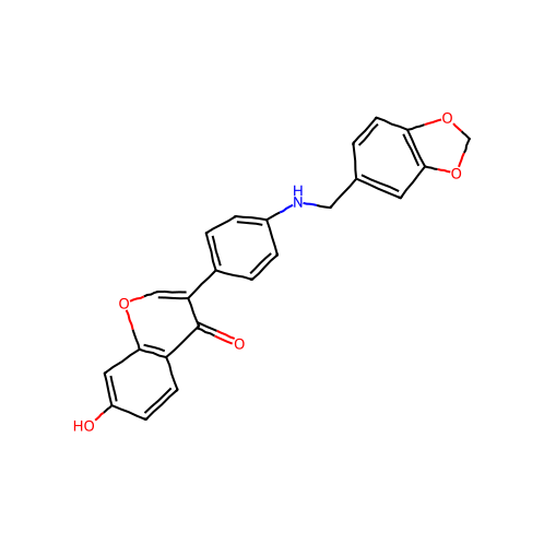 O=c1c(-c2ccc(NCc3ccc4c(c3)OCO4)cc2)coc2cc(O)ccc12